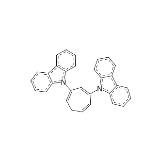 C1=CC(n2c3ccccc3c3ccccc32)=CC(n2c3ccccc3c3ccccc32)=CC1